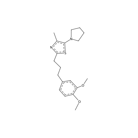 COc1ccc(CCCc2nc(C)c(N3CCCC3)s2)cc1OC